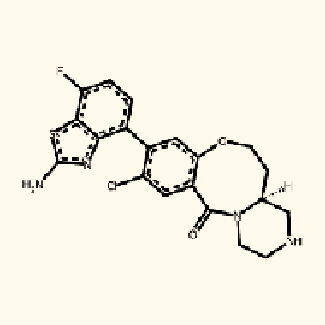 Nc1nc2c(-c3cc4c(cc3Cl)C(=O)N3CCNC[C@@H]3CCO4)ccc(F)c2s1